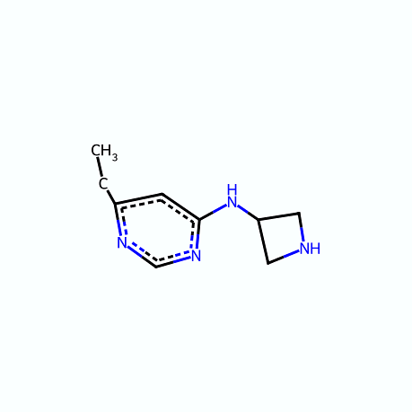 CCc1cc(NC2CNC2)ncn1